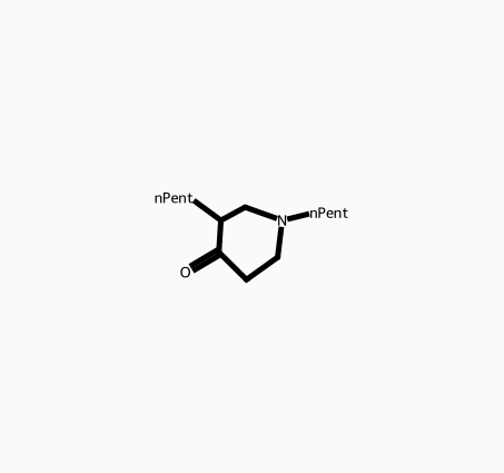 CCCCCC1CN(CCCCC)CCC1=O